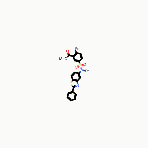 CCN(c1ccc2sc(-c3ccccc3)nc2c1)S(=O)(=O)c1ccc(C(C)C)c(C(=O)OC)c1